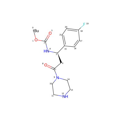 CC(C)(C)OC(=O)N[C@H](CC(=O)N1CCNCC1)c1ccc(F)cc1